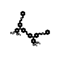 Cc1ccc(N(c2ccc(CCOCc3ccccc3)cc2)c2ccc(CCc3ccc(N(c4ccc(CCOCc5ccccc5)cc4)c4ccc(C)c(C)c4)cc3)cc2)cc1C